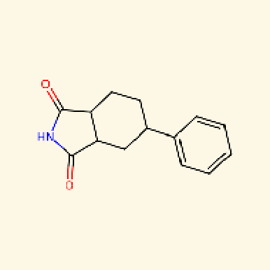 O=C1NC(=O)C2CC(c3ccccc3)CCC12